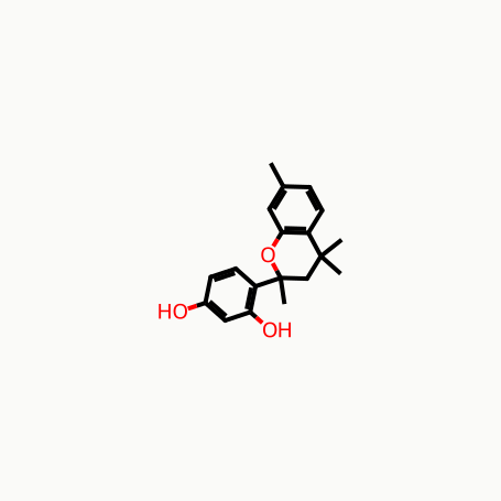 Cc1ccc2c(c1)OC(C)(c1ccc(O)cc1O)CC2(C)C